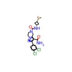 CS[C@H]1C[C@H](NC(=O)N2CCn3nc(-c4ccc(Cl)c(Cl)c4)c(C(N)=O)c3C2)C1